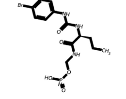 CCC[C@H](NC(=O)Nc1ccc(Br)cc1)C(=O)NCO[PH](=O)O